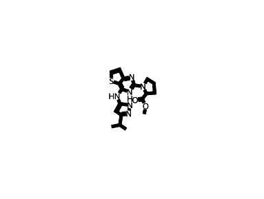 COC(=O)C1CCCN1c1nc(Nc2cc(C(C)C)n[nH]2)c2sccc2n1